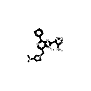 CCn1c(-c2nonc2N)nc2c(-c3ccccc3)ncc(CN3CCC(N(C)C)C3)c21